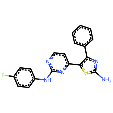 Nc1nc(-c2ccccc2)c(-c2ccnc(Nc3ccc(F)cc3)n2)s1